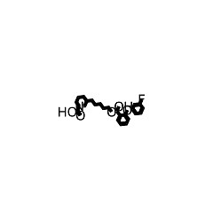 O=C(O)N1CCCC(CCCCCOC(O)c2ccccc2Oc2cccc(F)c2)C1